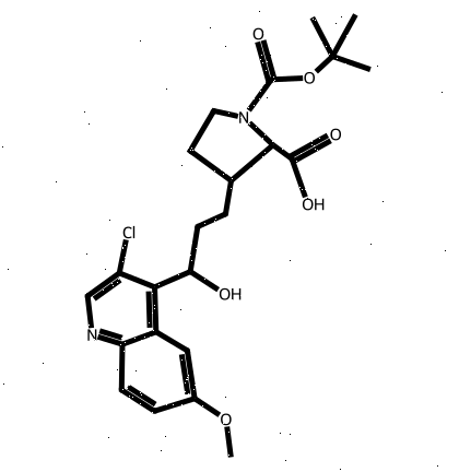 COc1ccc2ncc(Cl)c(C(O)CCC3CCN(C(=O)OC(C)(C)C)C3C(=O)O)c2c1